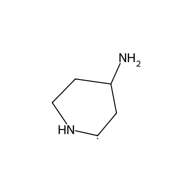 NC1C[CH]NCC1